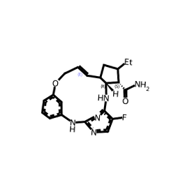 CCC1CC2/C=C/COc3cccc(c3)Nc3ncc(F)c(n3)N[C@H]2[C@H]1C(N)=O